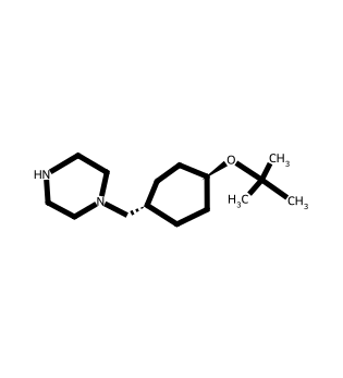 CC(C)(C)O[C@H]1CC[C@H](CN2CCNCC2)CC1